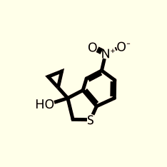 O=[N+]([O-])c1ccc2c(c1)C(O)(C1CC1)CS2